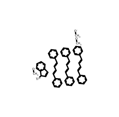 C(C=Cc1ccccc1)=Cc1ccccc1.C(C=Cc1ccccc1)=Cc1ccccc1.C(C=Cc1ccccc1)=Cc1ccccc1.C[O-].C[O-].C[O-].[Ti+3][CH]1C=Cc2ccccc21